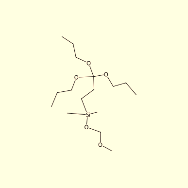 CCCOC(CC[Si](C)(C)OCOC)(OCCC)OCCC